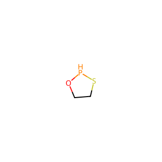 C1CSPO1